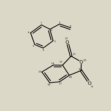 C=Cc1ccccc1.O=C1OC(=O)c2ccccc21